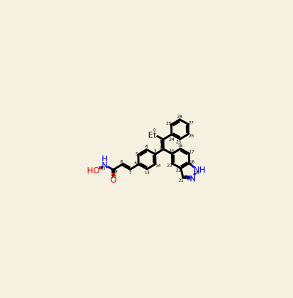 CCC(=C(c1ccc(C=CC(=O)NO)cc1)c1ccc2[nH]ncc2c1)c1ccccc1